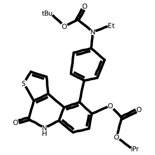 CCN(C(=O)OC(C)(C)C)c1ccc(-c2c(OC(=O)OC(C)C)ccc3[nH]c(=O)c4sccc4c23)cc1